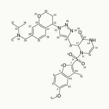 COc1ccc2oc(S(=O)(=O)N3C=CNC(=O)C3Cc3cn(C4CCOc5cc(CN(C)C(C)C)ccc54)nn3)c(C)c2c1